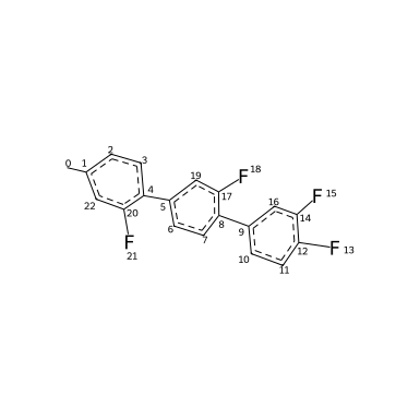 Cc1ccc(-c2ccc(-c3ccc(F)c(F)c3)c(F)c2)c(F)c1